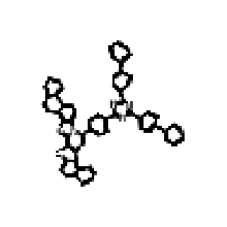 c1ccc(-c2ccc(-c3nc(-c4ccc(-c5ccccc5)cc4)nc(-c4ccc(-c5cc6c(sc7ccc8ccccc8c76)c6nc7c8ccc9ccccc9c8ccc7n56)cc4)n3)cc2)cc1